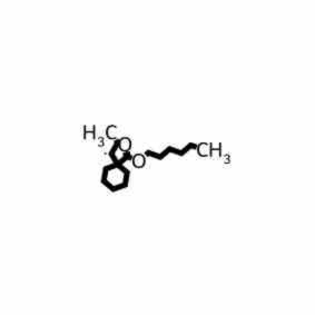 CC[CH]C1(C(=O)OCCCCCC)CCCCC1